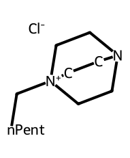 CCCCCC[N+]12CCN(CC1)CC2.[Cl-]